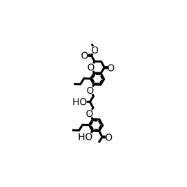 CCCc1c(OCC(O)COc2ccc3c(c2CCC)OC(C(=O)OC)CC3=O)ccc(C(C)=O)c1O